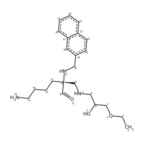 CCOCC(O)CNC[C@@](C=O)(CCCCN)NCc1ccc2ccccc2c1